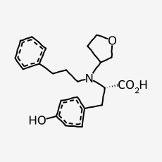 O=C(O)[C@H](Cc1ccc(O)cc1)N(CCCc1ccccc1)C1CCOC1